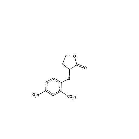 O=C(O)c1cc([N+](=O)[O-])ccc1SC1CCOC1=O